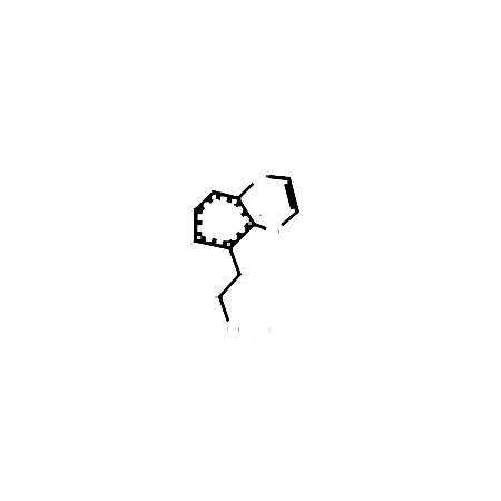 CCOC(=O)CCc1cccc2c1OC=CO2